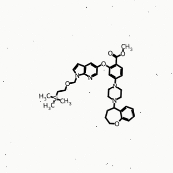 COC(=O)c1ccc(N2CCN(C3CCCOc4ccccc43)CC2)cc1Oc1cnc2c(ccn2COCC[Si](C)(C)C)c1